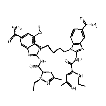 CCN/C(=C\C(C)=N)C(=O)Nc1nc2cc(C(N)=O)ccc2n1CCCCn1c(NC(=O)c2cc(C)nn2CC)nc2cc(C(N)=O)cc(OC)c21